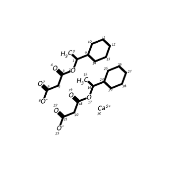 CC(OC(=O)CC(=O)[O-])C1CCCCC1.CC(OC(=O)CC(=O)[O-])C1CCCCC1.[Ca+2]